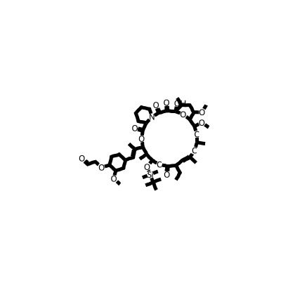 CCC1/C=C(\C)CC(C)CC(OC)C2OC(O)(C(=O)C(=O)N3CCCCC3C(=O)OC(C(C)=CC3CCC(OCC=O)C(OC)C3)C(C)C(O[Si](C)(C)C(C)(C)C)CC1=O)C(C)CC2OC